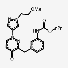 CCCOC(=O)Nc1cccc(Cc2nn(-c3cnn(CCOC)c3)ccc2=O)c1